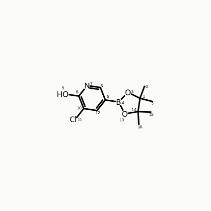 CC1(C)OB(c2cnc(O)c(Cl)c2)OC1(C)C